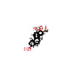 C[C@]12CC[C@H](O)C[C@@H]1CC[C@@H]1[C@@H]2CC[C@@]2(C)[C@H]1C[C@H](Br)C2(O)O